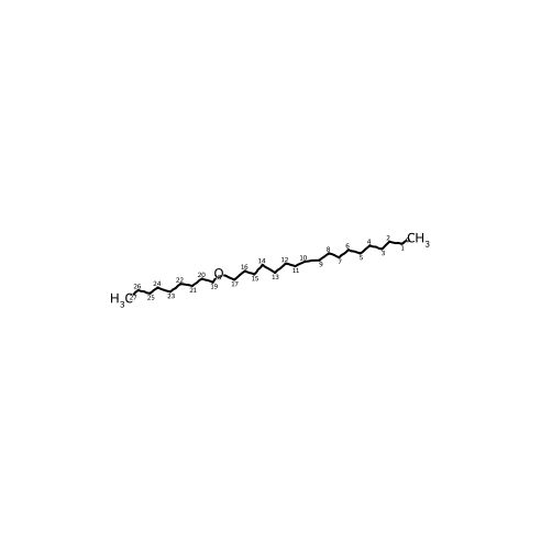 CCCCCCCCCCCCCCCCCCOCCCCCCCCC